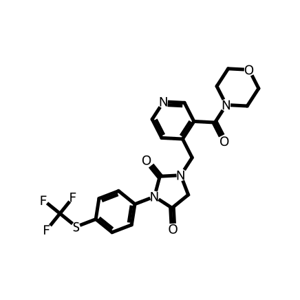 O=C(c1cnccc1CN1CC(=O)N(c2ccc(SC(F)(F)F)cc2)C1=O)N1CCOCC1